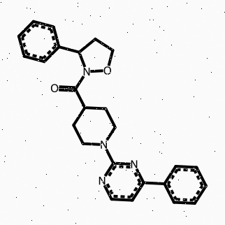 O=C(C1CCN(c2nccc(-c3ccccc3)n2)CC1)N1OCCC1c1ccccc1